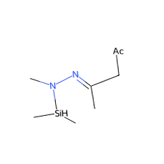 CC(=O)CC(C)=NN(C)[SiH](C)C